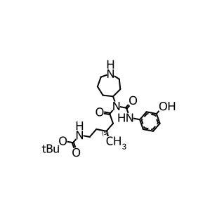 C[C@@H](CCNC(=O)OC(C)(C)C)CC(=O)N(C(=O)Nc1cccc(O)c1)C1CCCNCC1